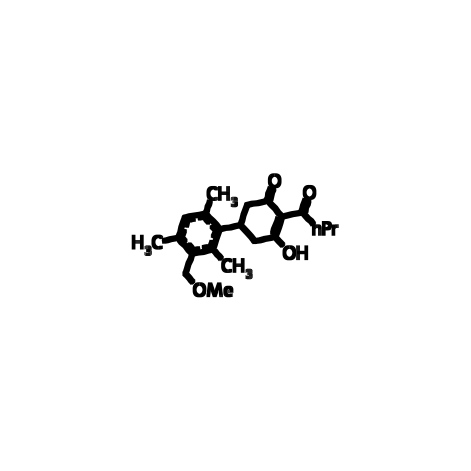 CCCC(=O)C1=C(O)CC(c2c(C)cc(C)c(COC)c2C)CC1=O